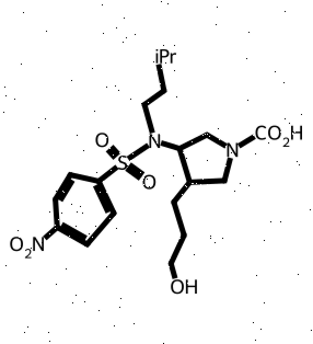 CC(C)CCN(C1CN(C(=O)O)CC1CCCO)S(=O)(=O)c1ccc([N+](=O)[O-])cc1